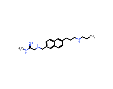 CCCNCCCc1ccc2cc(CNCC(=N)NC)ccc2c1